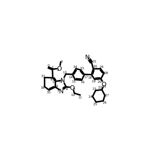 C=C(OC)C1=c2c(nc(OCC)n2Cc2ccc(-c3cc(OC4CCCCC4)ccc3C#N)cc2)=CCC1